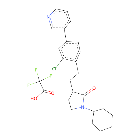 O=C(O)C(F)(F)F.O=C1C(CCc2ccc(-c3cccnc3)cc2Cl)CCN1C1CCCCC1